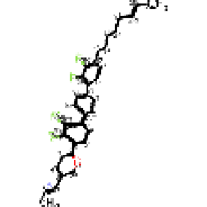 C/C=C/C1CCC(c2ccc(-c3ccc(-c4ccc(CCCCCCCC)c(F)c4F)cc3)c(F)c2F)OC1